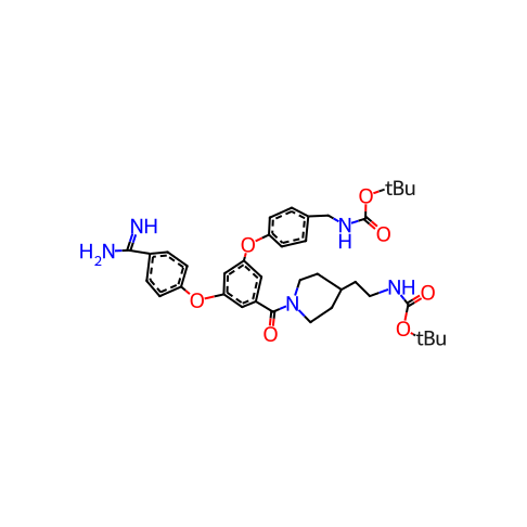 CC(C)(C)OC(=O)NCCC1CCN(C(=O)c2cc(Oc3ccc(CNC(=O)OC(C)(C)C)cc3)cc(Oc3ccc(C(=N)N)cc3)c2)CC1